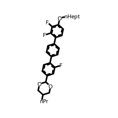 CCCCCCCOc1ccc(-c2ccc(-c3ccc(C4OCC(CCC)CO4)cc3F)cc2)c(F)c1F